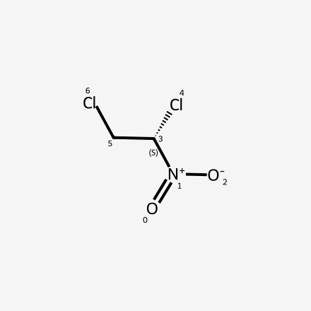 O=[N+]([O-])[C@@H](Cl)CCl